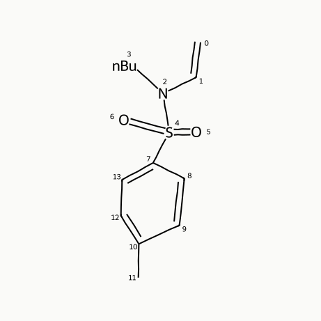 C=CN(CCCC)S(=O)(=O)c1ccc(C)cc1